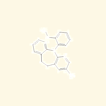 COc1ccccc1N1c2ncccc2CCc2cc(C)cnc21